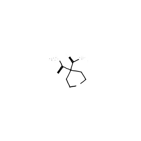 CNC(=O)C1(C(N)=O)CCOCC1